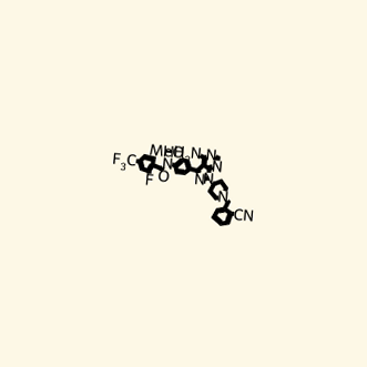 COc1cc(-c2nn(C3CCN(Cc4ccccc4C#N)CC3)c3ncnc(N)c23)ccc1NC(=O)c1ccc(C(F)(F)F)cc1F